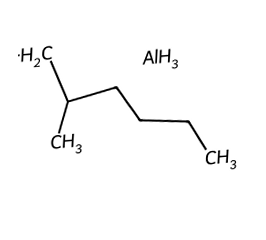 [AlH3].[CH2]C(C)CCCC